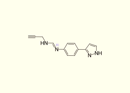 C#CCN/C=N/c1ccc(-c2cc[nH]n2)cc1